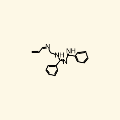 C=C/C=N\CN/C(=N\C(=N)c1ccccc1)c1ccccc1